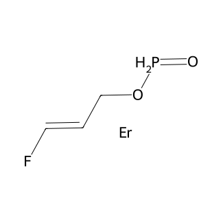 O=[PH2]OCC=CF.[Er]